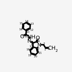 C=CCN1C(=O)/C(=N\NC(=O)c2ccccc2)c2ccccc21